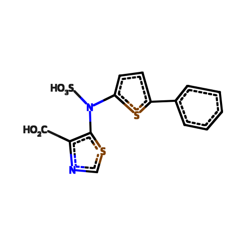 O=C(O)c1ncsc1N(c1ccc(-c2ccccc2)s1)S(=O)(=O)O